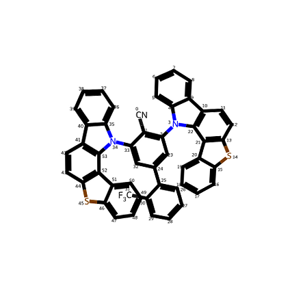 N#Cc1c(-n2c3ccccc3c3ccc4sc5ccccc5c4c32)cc(-c2ccccc2C(F)(F)F)cc1-n1c2ccccc2c2ccc3sc4ccccc4c3c21